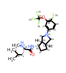 CN[C@@H](CC(C)C)C(=O)N[C@H]1CC[C@@H]2CN(c3ccc(F)c(OC(F)(F)F)c3)C[C@@H]21